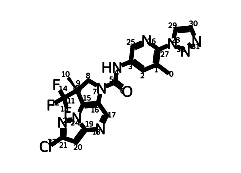 Cc1cc(NC(=O)N2C[C@@](C)(C(F)(F)F)c3c2cnc2cc(Cl)nn32)cnc1-n1ccnn1